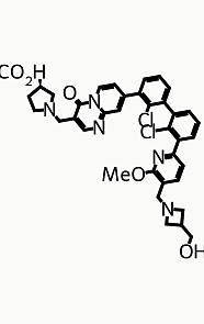 COc1nc(-c2cccc(-c3cccc(-c4ccn5c(=O)c(CN6CC[C@@H](C(=O)O)C6)cnc5c4)c3Cl)c2Cl)ccc1CN1CC(CO)C1